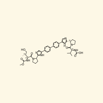 COC(=O)N[C@H](C(=O)N1CCCC1c1ncc(-c2ccc(-c3ccc(-c4cnc([C@@H]5CCCN5C(=O)[C@@H](NC(=O)O)C(C)C)[nH]4)cc3)cc2)[nH]1)[C@H](C)CO